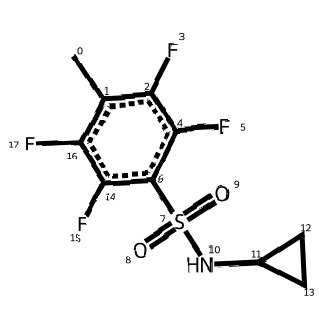 Cc1c(F)c(F)c(S(=O)(=O)NC2CC2)c(F)c1F